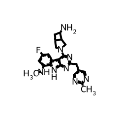 CNc1cc(F)cc2c1[nH]c1nc(Cc3cnc(C)nc3)nc(N3CC4CC(N)C4C3)c12